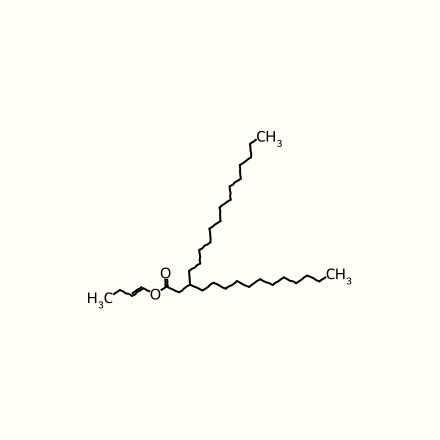 CCC=COC(=O)CC(CCCCCCCCCCCC)CCCCCCCCCCCCCC